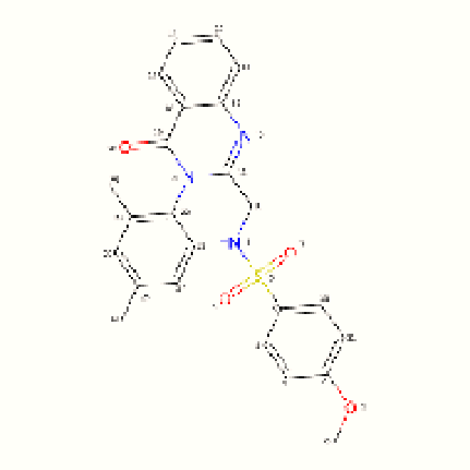 COc1ccc(S(=O)(=O)NCc2nc3ccccc3c(=O)n2-c2ccc(C)cc2C)cc1